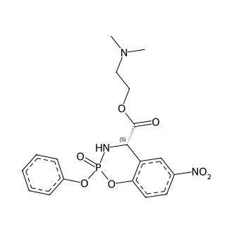 CN(C)CCOC(=O)[C@H]1NP(=O)(Oc2ccccc2)Oc2ccc([N+](=O)[O-])cc21